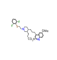 COc1ccc2nccc(CCC[C@@H]3CCN(CCSc4c(F)cccc4F)C[C@@H]3CCC(=O)O)c2c1